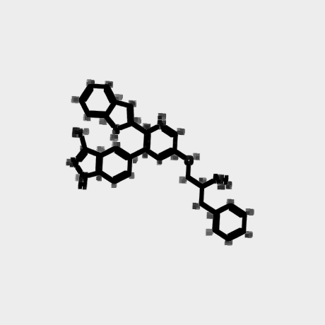 CCc1n[nH]c2ccc(-c3cc(OCC(N)Cc4ccccc4)cnc3-c3cc4ccccc4s3)cc12